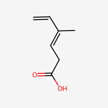 C=CC(C)=CCC(=O)O